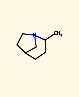 CC1CCC2CCN1C2